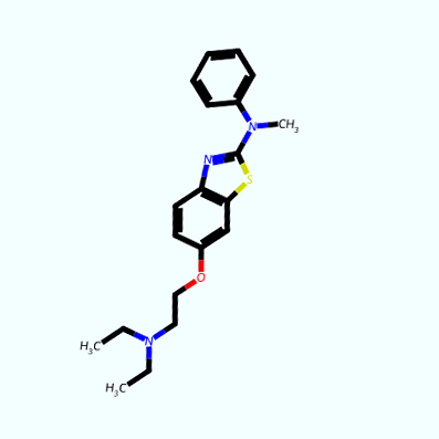 CCN(CC)CCOc1ccc2nc(N(C)c3ccccc3)sc2c1